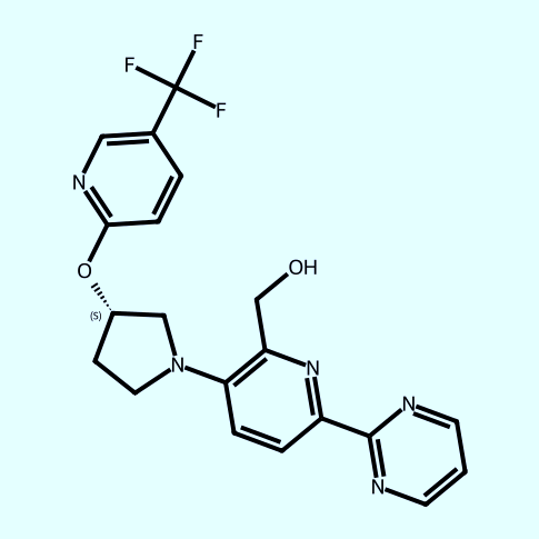 OCc1nc(-c2ncccn2)ccc1N1CC[C@H](Oc2ccc(C(F)(F)F)cn2)C1